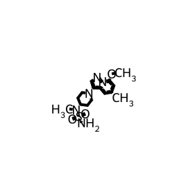 COc1cc(C)cc2c(N3CCC(N(C)S(N)(=O)=O)CC3)cnn12